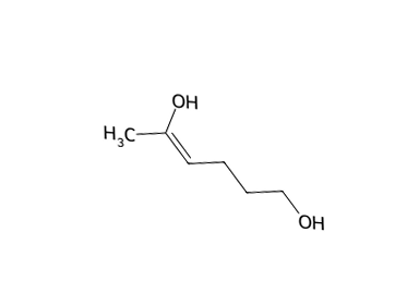 CC(O)=CCCCO